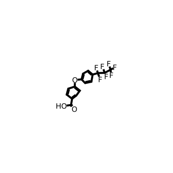 O=C(O)c1ccc(Oc2ccc(C(F)(F)C(F)(F)C(F)(F)F)cc2)cc1